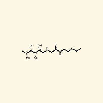 CCOCCNC(=O)CNC[C@H](O)[C@H](O)[C@@H](O)[C@H](C)O